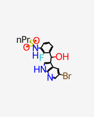 CCCS(=O)(=O)Nc1cccc(C(O)c2c[nH]c3ncc(Br)cc23)c1F